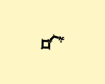 CC(=O)CN1CCC1